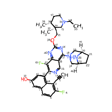 C#Cc1c(F)ccc2cc(O)cc(-c3ncc4c(N5C[C@H]6CC[C@@H](C5)N6)nc(OC[C@]5(C)CN(CC)CC[C@H]5C)nc4c3F)c12